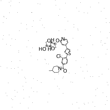 CC1CCN(C(=O)c2ccc(-c3cc(-c4ccnc(O[C@@H]5CO[C@H]6[C@@H]5OC[C@H]6O)c4)cs3)c(Cl)c2)CC1